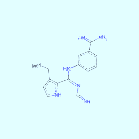 CNCc1cc[nH]c1/C(=N\C=N)Nc1cccc(C(=N)N)c1